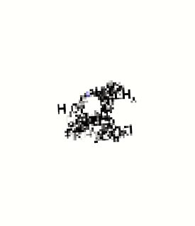 CC[C@@H]1C[C@H](C)CC/C=C\C2C[C@@]2(C(=O)NS(=O)(=O)C2(C)CC2)NC(=O)[C@@H]2C[C@@H](Oc3nc4nccn4c4ccc(Cl)cc34)CN2C(=O)[C@H]1NC(=O)OC(C)(C)C(F)(F)F